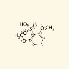 COC1=CC[CH]C(OC)=C1S(=O)(=O)O